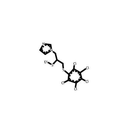 CCSC(CSc1c(Cl)c(Cl)c(Cl)c(Cl)c1Cl)Cn1ccnc1